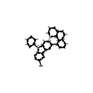 Brc1ccc2c(c1)c1cc(-c3cccc4ccc5cccnc5c34)ccc1n2-c1ccccc1